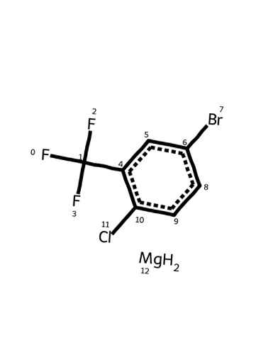 FC(F)(F)c1cc(Br)ccc1Cl.[MgH2]